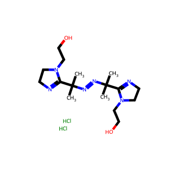 CC(C)(N=NC(C)(C)C1=NCCN1CCO)C1=NCCN1CCO.Cl.Cl